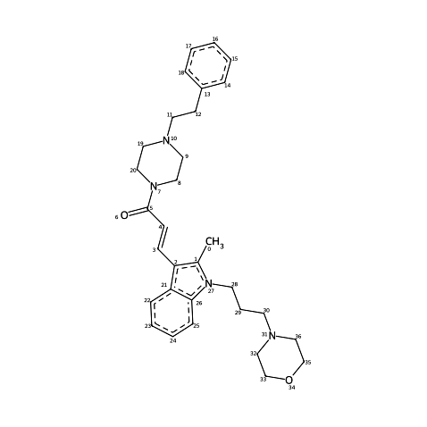 Cc1c(C=CC(=O)N2CCN(CCc3ccccc3)CC2)c2ccccc2n1CCCN1CCOCC1